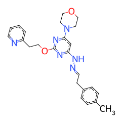 Cc1ccc(CC=NNc2cc(N3CCOCC3)nc(OCCc3ccccn3)n2)cc1